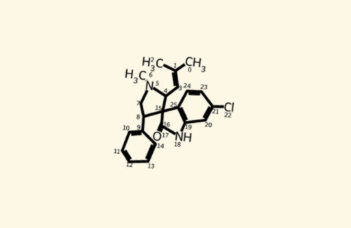 CC(C)=CC1N(C)CC(c2ccccc2)C12C(=O)Nc1cc(Cl)ccc12